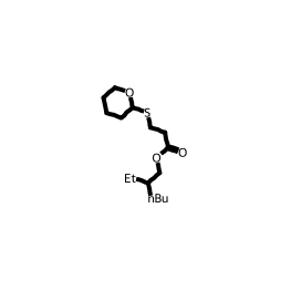 CCCCC(CC)COC(=O)CCSC1CCCCO1